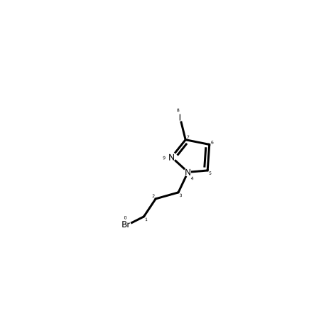 BrCCCn1ccc(I)n1